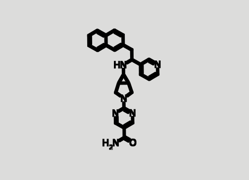 NC(=O)c1cnc(N2CC3C(C2)C3NC(Cc2ccc3ccccc3c2)c2cccnc2)nc1